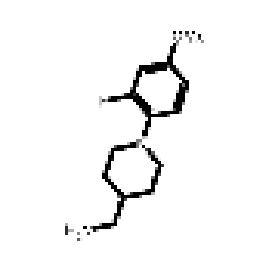 COc1ccc(N2CCC(CN)CC2)c(F)c1